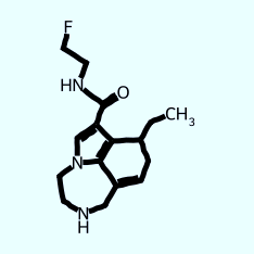 CCC1CC=C2CNCCn3cc(C(=O)NCCF)c1c32